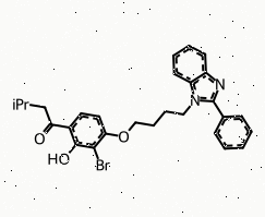 CC(C)CC(=O)c1ccc(OCCCCn2c(-c3ccccc3)nc3ccccc32)c(Br)c1O